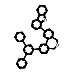 c1ccc(-c2cc(-c3ccccc3)cc(-c3ccc4c(c3)-c3cc(-c5cccc6c5oc5ccccc56)ccc3COC4)c2)cc1